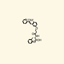 N#CC(=Cc1cc(OCCC(=O)N[C@@H](Cc2ccccc2)B(O)O)ccc1F)c1ccccn1